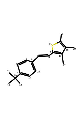 Cc1sc(/C=C/c2ccc(C(C)(C)C)cc2)c(C)c1C